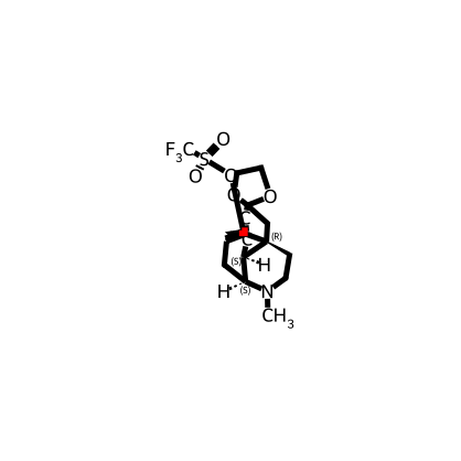 CN1CC[C@@]23CC4(CC[C@@H]2[C@@H]1Cc1ccc(OS(=O)(=O)C(F)(F)F)cc13)OCCO4